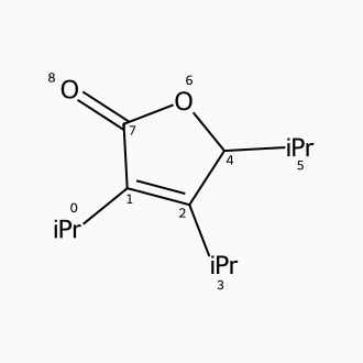 CC(C)C1=C(C(C)C)C(C(C)C)OC1=O